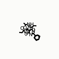 CCC(=O)OC1(c2cnc(-c3ccccc3)nc2N(C)C)OC(C)NN1C(=O)CC